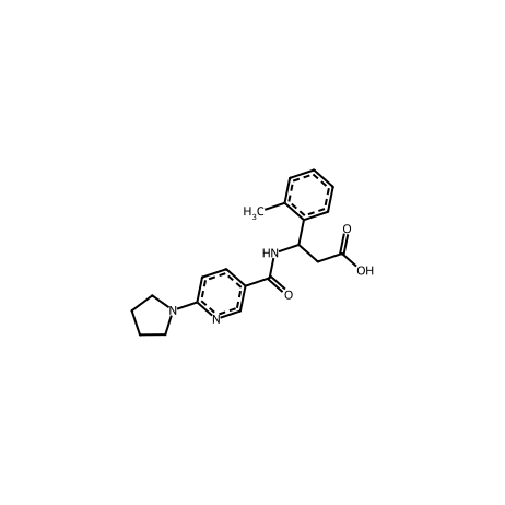 Cc1ccccc1C(CC(=O)O)NC(=O)c1ccc(N2CCCC2)nc1